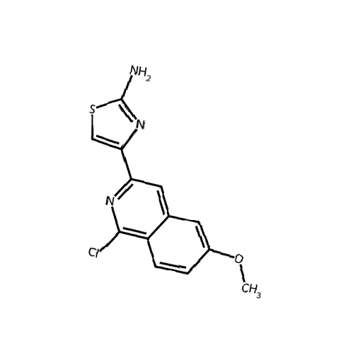 COc1ccc2c(Cl)nc(-c3csc(N)n3)cc2c1